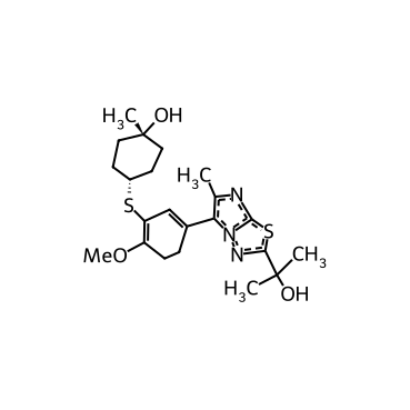 COC1=C(S[C@H]2CC[C@@](C)(O)CC2)C=C(c2c(C)nc3sc(C(C)(C)O)nn23)CC1